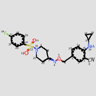 N#Cc1cc(CON=C2CCN(S(=O)(=O)c3ccc(F)cc3)CC2)ccc1NC1CC1